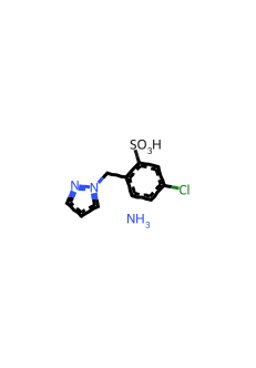 N.O=S(=O)(O)c1cc(Cl)ccc1Cn1cccn1